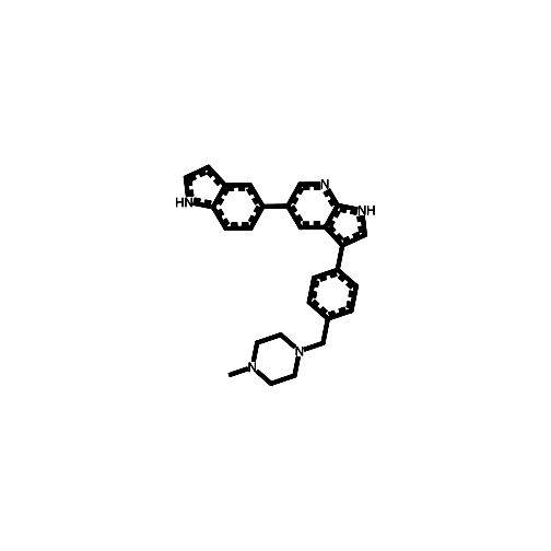 CN1CCN(Cc2ccc(-c3c[nH]c4ncc(-c5ccc6[nH]ccc6c5)cc34)cc2)CC1